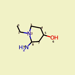 CCN1CCC(O)CC1N